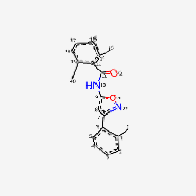 Cc1ccccc1-c1cc(NC(=O)c2c(C)cccc2C)on1